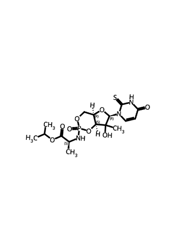 CC(C)OC(=O)[C@H](C)NP1(=O)OC[C@H]2O[C@@H](n3ccc(=O)[nH]c3=S)C(C)(O)[C@H]2O1